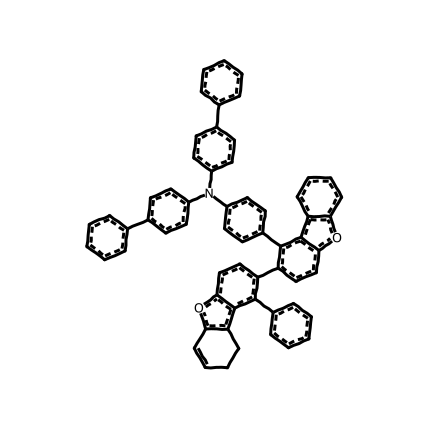 C1=Cc2oc3ccc(-c4ccc5oc6ccccc6c5c4-c4ccc(N(c5ccc(-c6ccccc6)cc5)c5ccc(-c6ccccc6)cc5)cc4)c(-c4ccccc4)c3c2CC1